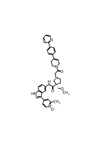 COC[C@@]1(C(=O)Nc2ccc3[nH]nc(-c4cc[n+]([O-])c(C)c4)c3c2)CCN(CC(=O)N2CC=C(c3ccc(-c4ncccn4)cc3)CC2)C1